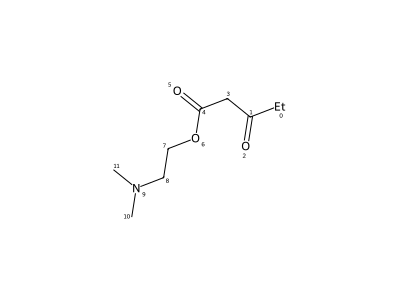 CCC(=O)CC(=O)OCCN(C)C